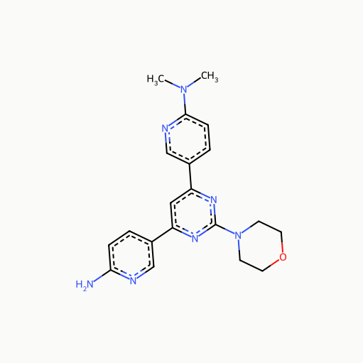 CN(C)c1ccc(-c2cc(-c3ccc(N)nc3)nc(N3CCOCC3)n2)cn1